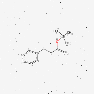 C=C(CCc1ccccc1)O[Si](C)(C)C